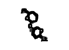 CCC1CC[C@H](O[C@H]2CCCC(CC)O2)CO1